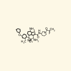 C=C(F)C(=O)N1CCCC(NC(=O)c2sc3c(N)ccc4c3c2C(N)C(=O)C4(N)c2ccc(Oc3ccccc3)cc2C)C1